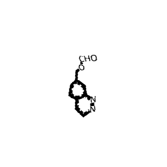 O=COCc1ccc2ccnnc2c1